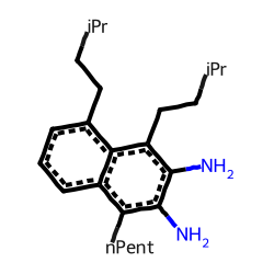 CCCCCc1c(N)c(N)c(CCC(C)C)c2c(CCC(C)C)cccc12